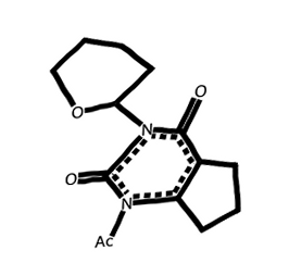 CC(=O)n1c2c(c(=O)n(C3CCCCO3)c1=O)CCC2